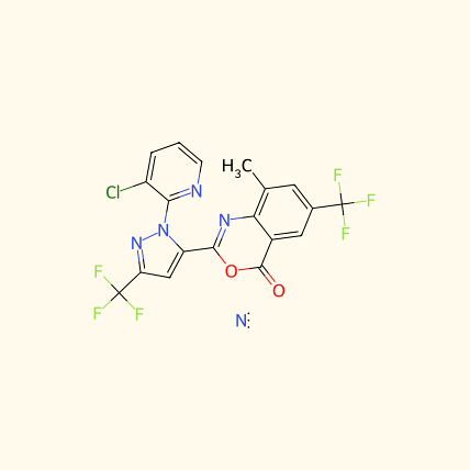 Cc1cc(C(F)(F)F)cc2c(=O)oc(-c3cc(C(F)(F)F)nn3-c3ncccc3Cl)nc12.[N]